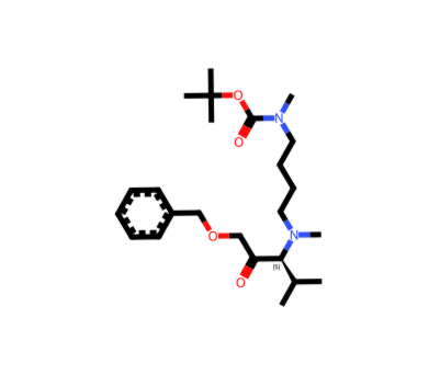 CC(C)[C@@H](C(=O)COCc1ccccc1)N(C)CCCCN(C)C(=O)OC(C)(C)C